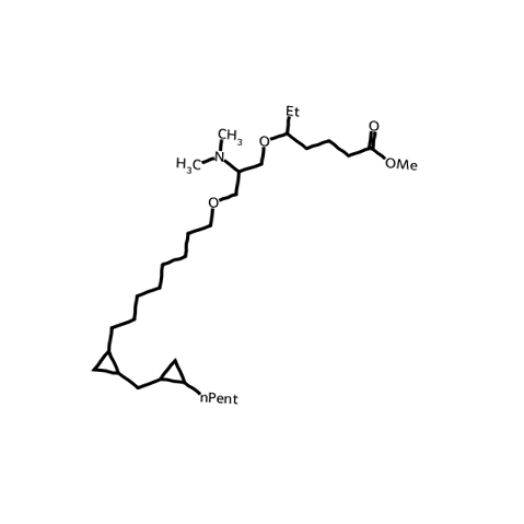 CCCCCC1CC1CC1CC1CCCCCCCCOCC(COC(CC)CCCC(=O)OC)N(C)C